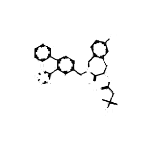 CC(C)(N)CC(=O)N[C@@H]1Cc2cc(F)ccc2CN(Cc2ccc(-c3ccccc3)c(-c3nnn[nH]3)c2)C1=O